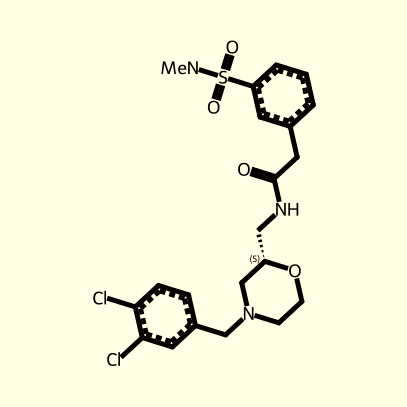 CNS(=O)(=O)c1cccc(CC(=O)NC[C@H]2CN(Cc3ccc(Cl)c(Cl)c3)CCO2)c1